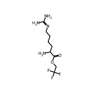 NC(N)=NCCCCC(N)C(=O)OCC(F)(F)F